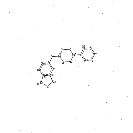 c1ccc(N2CCN(Cc3ccc4c(c3)SCO4)CC2)nc1